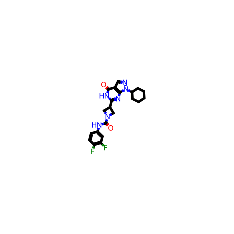 O=C(Nc1ccc(F)c(F)c1)N1CC(c2nc3c(cnn3C3CCCCC3)c(=O)[nH]2)C1